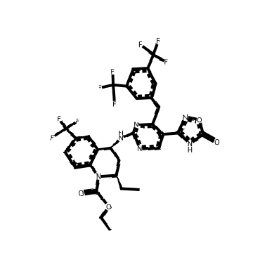 CCOC(=O)N1c2ccc(C(F)(F)F)cc2[C@@H](Nc2ncc(-c3noc(=O)[nH]3)c(Cc3cc(C(F)(F)F)cc(C(F)(F)F)c3)n2)C[C@H]1CC